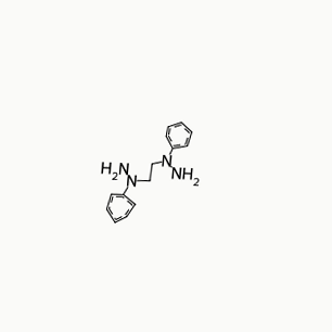 NN(CCN(N)c1ccccc1)c1ccccc1